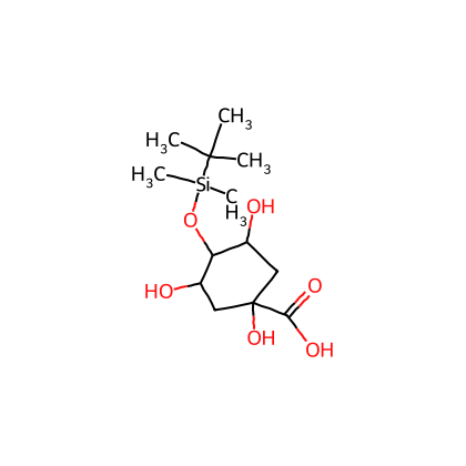 CC(C)(C)[Si](C)(C)OC1C(O)CC(O)(C(=O)O)CC1O